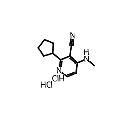 CNc1ccnc(C2CCCC2)c1C#N.Cl.Cl